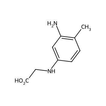 Cc1ccc(NCC(=O)O)cc1N